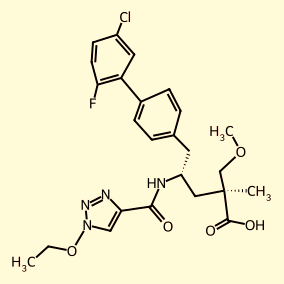 CCOn1cc(C(=O)N[C@H](Cc2ccc(-c3cc(Cl)ccc3F)cc2)C[C@@](C)(COC)C(=O)O)nn1